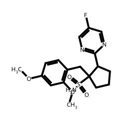 COc1ccc(CC2(S(N)(=O)=O)CCCC2c2ncc(F)cn2)c(OC)c1